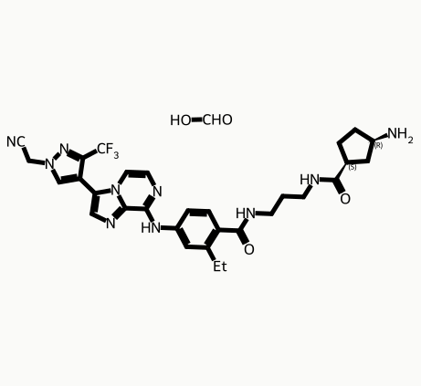 CCc1cc(Nc2nccn3c(-c4cn(CC#N)nc4C(F)(F)F)cnc23)ccc1C(=O)NCCCNC(=O)[C@H]1CC[C@@H](N)C1.O=CO